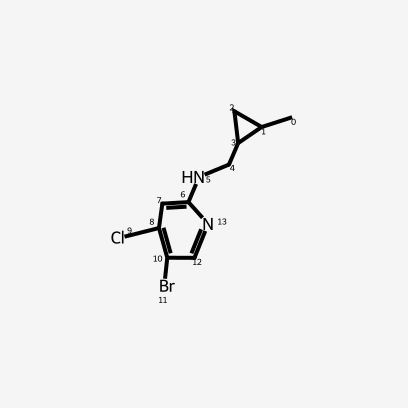 CC1CC1CNc1cc(Cl)c(Br)cn1